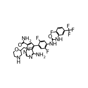 NC(=O)C1=CC(c2cc(F)c(NC(=O)Nc3cc(C(F)(F)F)ccc3F)cc2F)=C2C(N)=NC=N[N+]12CC1CNCCO1